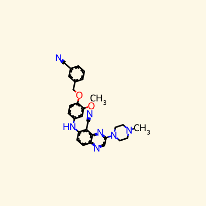 COc1cc(Nc2ccc3ncc(N4CCN(C)CC4)nc3c2C#N)ccc1OCc1cccc(C#N)c1